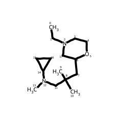 CCN1CCOC(CC(C)(C)CN(C)C2CC2)C1